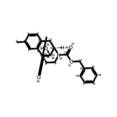 Cc1ccc2c(c1)[C@]13CCN(C(=O)OCc4ccccc4)[C@H](C2)[C@]1(O)CCC(=O)C3